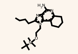 CCCCc1nc2c(N)nc3c(c2n1CCO[Si](C)(C)C(C)(C)C)CCCC3